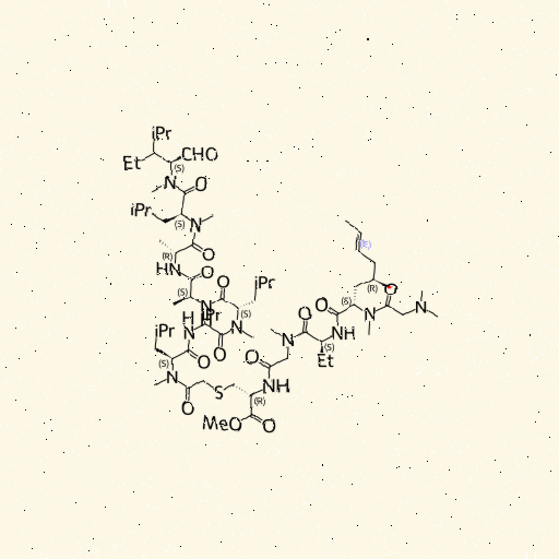 C/C=C/C[C@@H](C)C[C@@H](C(=O)N[C@@H](CC)C(=O)N(C)CC(=O)N[C@@H](CSCC(=O)N(C)[C@@H](CC(C)C)C(=O)NC(C(=O)N(C)[C@@H](CC(C)C)C(=O)N[C@@H](C)C(=O)N[C@H](C)C(=O)N(C)[C@@H](CC(C)C)C(=O)N(C)[C@H](C=O)C(CC)C(C)C)C(C)C)C(=O)OC)N(C)C(=O)CN(C)C